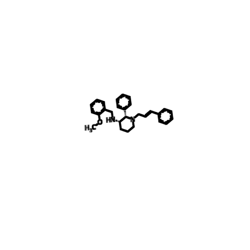 COc1ccccc1CN[C@H]1CCCN(CC=Cc2ccccc2)[C@H]1c1ccccc1